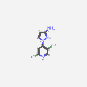 Nc1ccn(-c2cc(F)ncc2F)n1